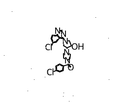 O=C(c1ccc(Cl)cc1)N1CCN(C2CN(c3ncnc4ccc(Cl)cc34)CC2O)CC1